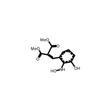 COC(=O)C(=Cc1cccc(O)c1NO)C(=O)OC